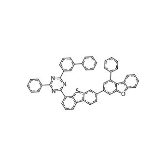 c1ccc(-c2cccc(-c3nc(-c4ccccc4)nc(-c4cccc5c4sc4cc(-c6cc(-c7ccccc7)c7c(c6)oc6ccccc67)ccc45)n3)c2)cc1